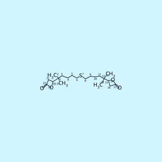 CC(C)(CCCCSCCCCC(C)(C)C1CC(=O)O1)C1CC(=O)O1